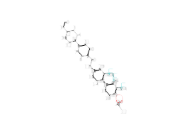 C=CC1CCC(c2ccc(CCc3ccc(-c4ccc(OCC)c(F)c4F)c(F)c3)cc2)CC1